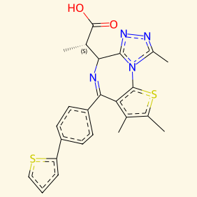 Cc1sc2c(c1C)C(c1ccc(-c3cccs3)cc1)=NC([C@H](C)C(=O)O)c1nnc(C)n1-2